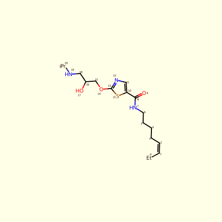 CC/C=C\CCCCNC(=O)c1cnc(OCC(O)CNC(C)C)s1